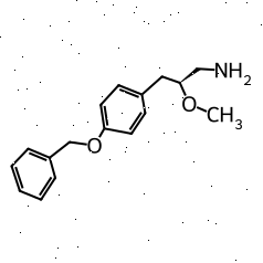 CO[C@H](CN)Cc1ccc(OCc2ccccc2)cc1